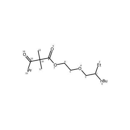 CCCCC(CC)COCCOC(=O)C(C)(C)C(=O)C(C)C